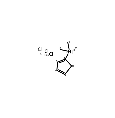 [CH3][Hf+3]([CH3])([CH3])[C]1=CC=CC1.[Cl-].[Cl-].[Cl-]